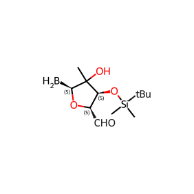 B[C@@H]1O[C@H](C=O)[C@H](O[Si](C)(C)C(C)(C)C)C1(C)O